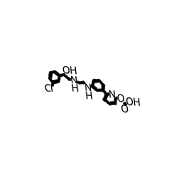 O=C(O)Oc1cccc(-c2cccc(NCCNC[C@H](O)c3cccc(Cl)c3)c2)n1